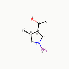 CC[C@@H]1CN(P)C[C@@H]1C(C)O